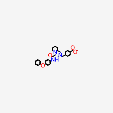 COC(=O)c1ccc(CN(C)CC2CCCCN2CC(=O)Nc2ccc(Oc3ccccc3)cc2)cc1